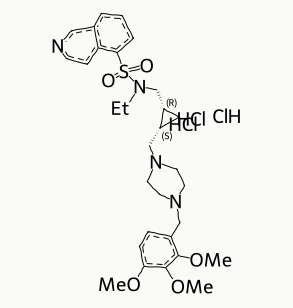 CCN(C[C@@H]1C[C@@H]1CN1CCN(Cc2ccc(OC)c(OC)c2OC)CC1)S(=O)(=O)c1cccc2cnccc12.Cl.Cl.Cl